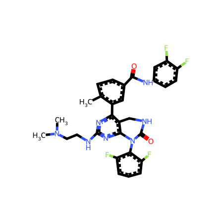 Cc1ccc(C(=O)Nc2ccc(F)c(F)c2)cc1-c1nc(NCCN(C)C)nc2c1CNC(=O)N2c1c(F)cccc1F